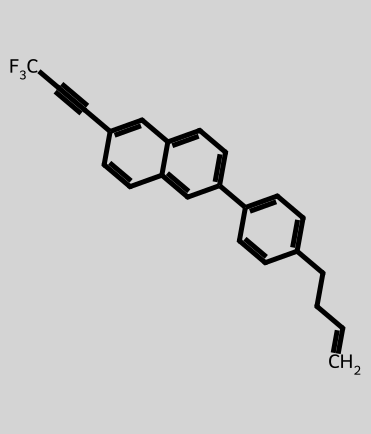 C=CCCc1ccc(-c2ccc3cc(C#CC(F)(F)F)ccc3c2)cc1